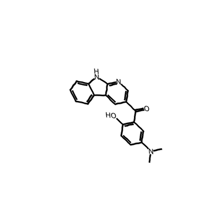 CN(C)c1ccc(O)c(C(=O)c2cnc3[nH]c4ccccc4c3c2)c1